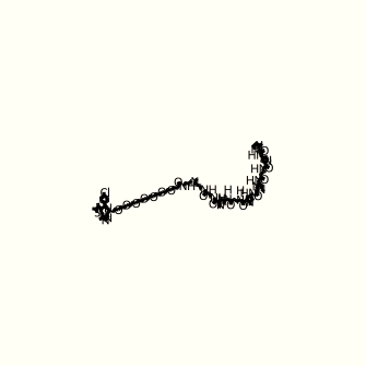 Cc1sc2c(c1C)C(c1ccc(Cl)cc1)=N[C@@H](CCOCCOCCOCCOCCOCCOCCOCCC(=O)NCCCN(C)CCCNC(=O)CCNC(=O)c1nc(NC(=O)CCNC(=O)c3cc(NC(=O)c4nc(NC(=O)CCNC(=O)c5cc(NC(=O)c6nccn6C)cn5C)cn4C)cn3C)cn1C)c1nnc(C)n1-2